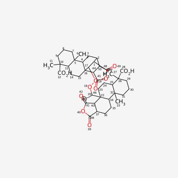 CC(C)C1C2CC3C4(C)CCCC(C)(C(=O)O)C4CCC3(C1OOC(C(C)C)C13CCC4C(C)(C(=O)O)CCCC4(C)C1CCC1C(=O)OC(=O)C13)C1C(=O)OC(=O)C21